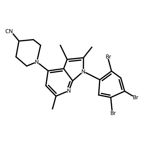 [C-]#[N+]C1CCN(c2cc(C)nc3c2c(C)c(C)n3-c2cc(Br)c(Br)cc2Br)CC1